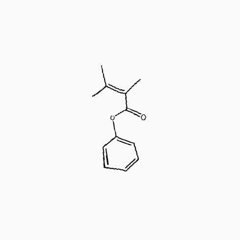 CC(C)=C(C)C(=O)Oc1ccccc1